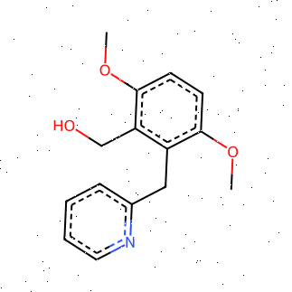 COc1ccc(OC)c(Cc2ccccn2)c1CO